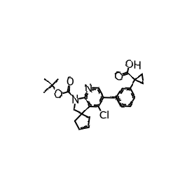 CC(C)(C)OC(=O)N1CC2(CC=CC2)c2c1ncc(-c1cccc(C3(C(=O)O)CC3)c1)c2Cl